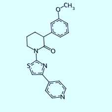 COc1cccc(C2CCCN(c3nc(-c4ccncc4)cs3)C2=O)c1